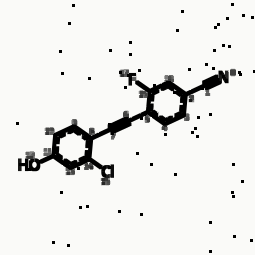 N#Cc1ccc(C#Cc2ccc(O)cc2Cl)c(F)c1